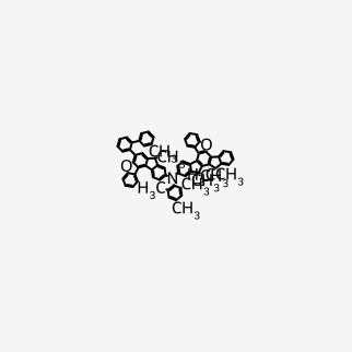 Cc1cc(C)c(N(c2ccc3c(c2)C(C)(C)c2cc(-c4ccccc4-c4ccccc4)c4oc5ccccc5c4c2-3)c2ccc3c(c2)C(C)(C)c2c4c(c5oc6ccccc6c5c2-3)-c2ccccc2C4(C)C)c(C)c1